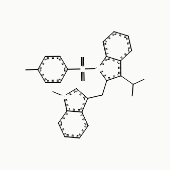 Cc1ccc(S(=O)(=O)n2c(Cc3cn(C)c4ccccc34)c(C(C)C)c3ccccc32)cc1